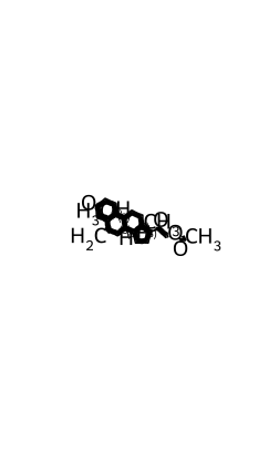 C=C1C[C@H]2[C@@H]3CC[C@H](C(=O)COC(C)=O)[C@@]3(C)CC[C@@H]2[C@@]2(C)CCC(=O)C=C12